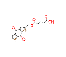 O=C(O)CCCC(=O)OCc1cc2c(s1)C(=O)c1sccc1C2=O